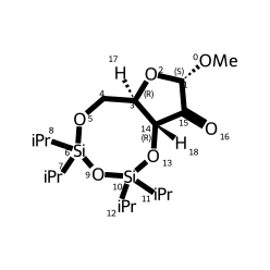 CO[C@H]1O[C@@H]2CO[Si](C(C)C)(C(C)C)O[Si](C(C)C)(C(C)C)O[C@H]2C1=O